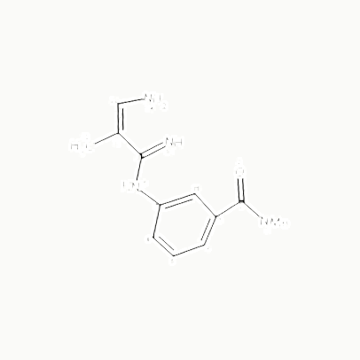 CNC(=O)c1cccc(NC(=N)/C(C)=C\N)c1